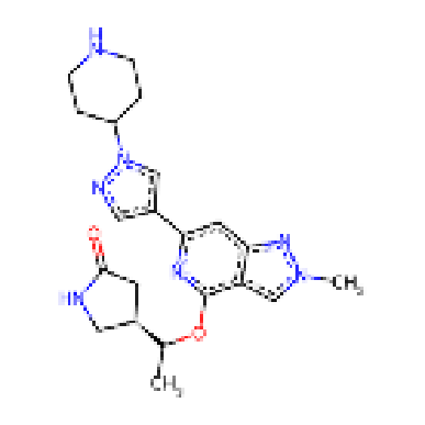 CC(Oc1nc(-c2cnn(C3CCNCC3)c2)cc2nn(C)cc12)[C@H]1CNC(=O)C1